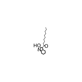 CCCCCCCCCC(=O)c1c(O)n(C)c2ccccc12